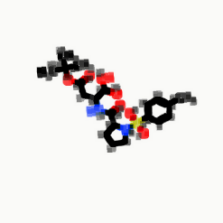 Cc1ccc(S(=O)(=O)N2CCC[C@H]2C(=O)N[C@@H](CC(=O)OC(C)(C)C)C(=O)O)cc1